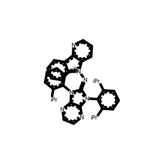 CC(C)c1cccc(C(C)C)c1-n1c(=Nn2c3ccccc3c3ncccc32)n(-c2c(C(C)C)cccc2C(C)C)c2nccnc21